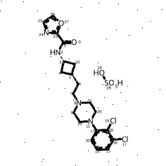 O=C(N[C@H]1C[C@H](CCN2CCN(c3cccc(Cl)c3Cl)CC2)C1)c1ncco1.O=S(=O)(O)O